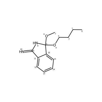 CCCCOC1(OC)NC(=N)c2ccccc21